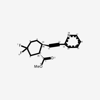 COC(=O)[C@@H]1CC(F)(F)CC[C@H]1C#Cc1ccccn1